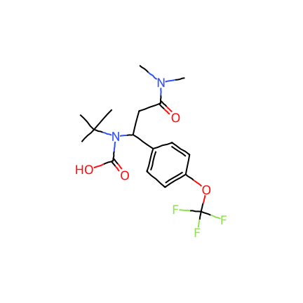 CN(C)C(=O)CC(c1ccc(OC(F)(F)F)cc1)N(C(=O)O)C(C)(C)C